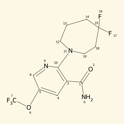 NC(=O)c1cc(OC(F)(F)F)cnc1N1CCCC(F)(F)CC1